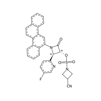 N#CC1CN(S(=O)(=O)O[C@H]2C(=O)N(c3cc4c5ccccc5ccc4c4ccccc34)[C@@H]2c2ccc(F)cn2)C1